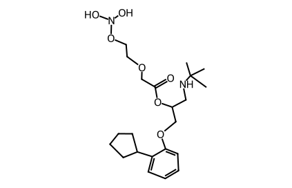 CC(C)(C)NCC(COc1ccccc1C1CCCC1)OC(=O)COCCON(O)O